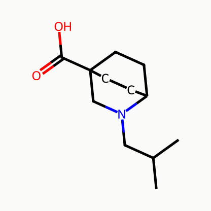 CC(C)CN1CC2(C(=O)O)CCC1CC2